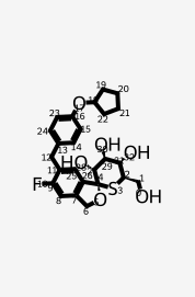 OC[C@H]1S[C@]2(OCc3cc(F)c(Cc4ccc(OC5CCCC5)cc4)cc32)[C@H](O)[C@@H](O)[C@@H]1O